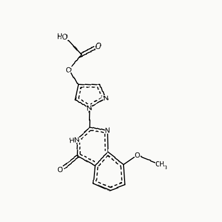 COc1cccc2c(=O)[nH]c(-n3cc(OC(=O)O)cn3)nc12